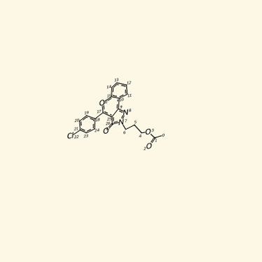 CC(=O)OCCCn1nc2c3ccccc3oc(-c3ccc(Cl)cc3)c-2c1=O